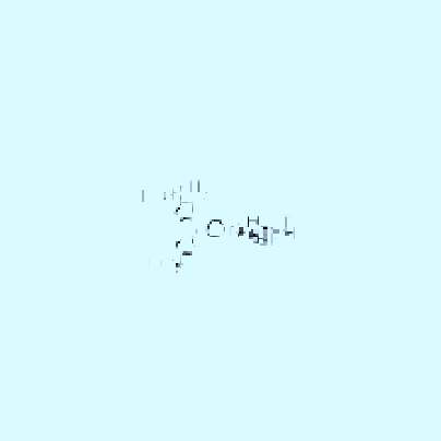 CN(C)c1ccc([S+](c2ccc(N(C)C)cc2)c2ccc(N(C)C)cc2)cc1.O=S(=O)([O-])C(F)(F)C(F)(F)C(F)(F)C(F)(F)F